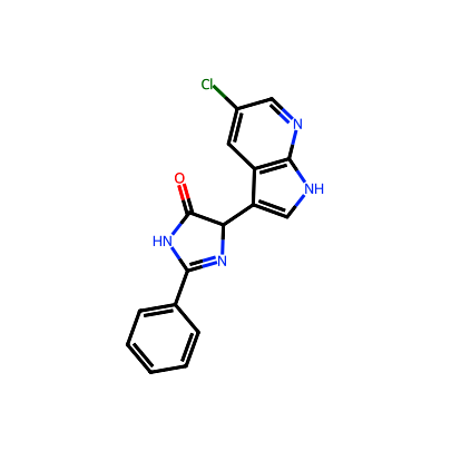 O=C1NC(c2ccccc2)=NC1c1c[nH]c2ncc(Cl)cc12